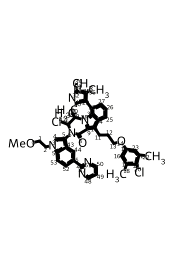 COCCn1cc(N2C(=O)c3c(CCCOc4cc(C)c(Cl)c(C)c4)c4cccc(-c5c(C)nn(C)c5C)c4n3C(C)C2Cl)c2cc(-c3ncccn3)ccc21